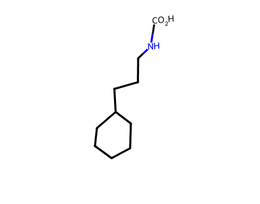 O=C(O)NCCCC1CCCCC1